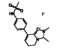 CC1N(C)[C+]=C2C(c3ccc(NS(C)(=O)=O)cc3)=CCCN21.[I-]